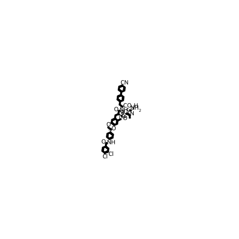 Cc1nc(N)sc1S(=O)(=O)N1Cc2cc3c(cc2CC1C(=O)N[C@@H](Cc1ccc(-c2ccc(C#N)cc2)cc1)C(=O)O)OC[C@H](c1ccc(NC(=O)c2ccc(Cl)c(Cl)c2)cc1)O3